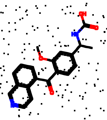 COc1cc(C(C)NC(=O)O)ccc1C(=O)c1cccc2cnccc12